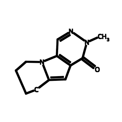 Cn1ncc2c(cc3n2CCCC3)c1=O